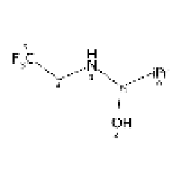 CC(C)C(O)NCC(F)(F)F